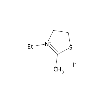 CC[N+]1=C(C)SCC1.[I-]